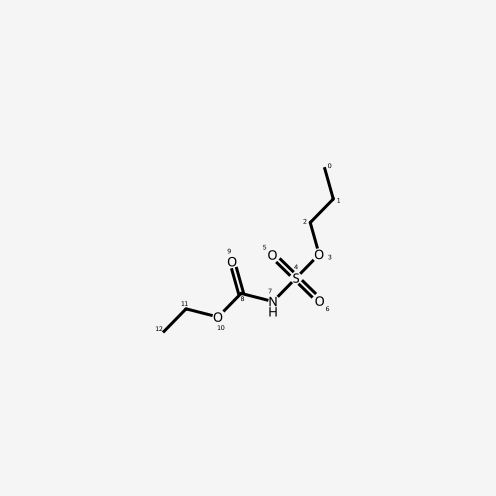 CCCOS(=O)(=O)NC(=O)OCC